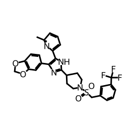 Cc1cccc(-c2[nH]c(C3CCN(S(=O)(=O)Cc4cccc(C(F)(F)F)c4)CC3)nc2-c2ccc3c(c2)OCO3)n1